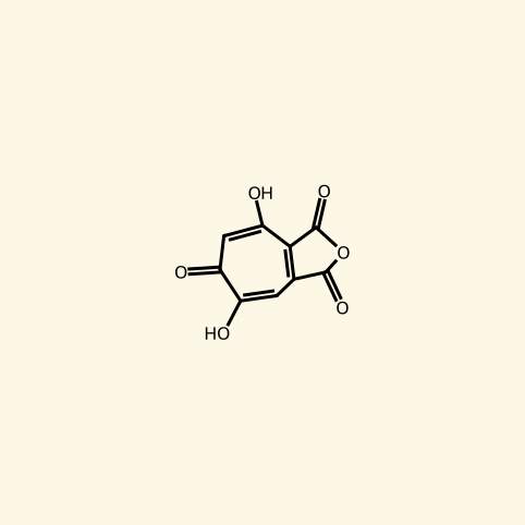 O=C1OC(=O)c2c(O)cc(=O)c(O)cc21